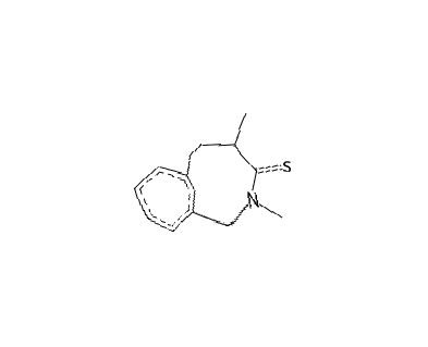 CC1Cc2ccccc2CN(C)C1=S